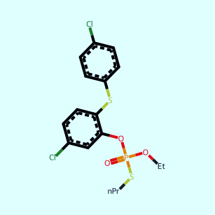 CCCSP(=O)(OCC)Oc1cc(Cl)ccc1Sc1ccc(Cl)cc1